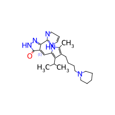 Cc1[nH]c(/C=C2/C(=O)NN=C2c2ncccn2)c(C(C)C)c1CCCCN1CCCCC1